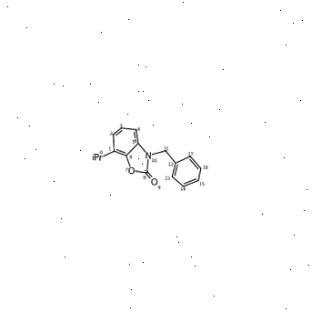 CC(C)c1cccc2c1oc(=O)n2Cc1ccccc1